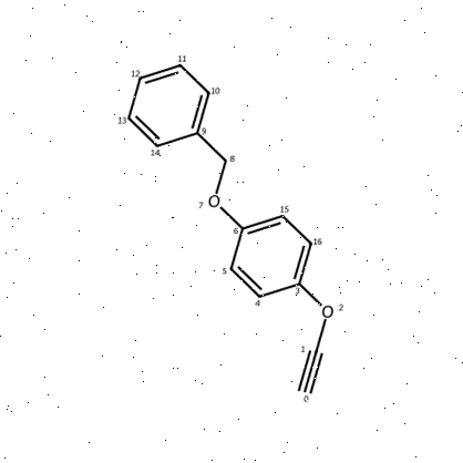 C#COc1ccc(OCc2ccccc2)cc1